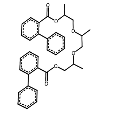 CC(COC(=O)c1ccccc1-c1ccccc1)OCC(C)OCC(C)OC(=O)c1ccccc1-c1ccccc1